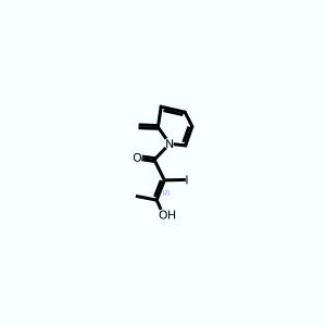 C=C1C=CC=CN1C(=O)/C(I)=C(\C)O